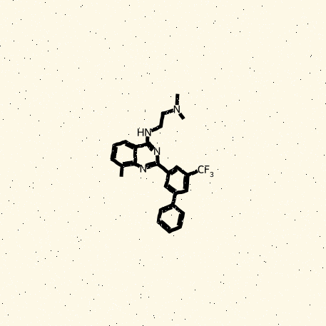 Cc1cccc2c(NCCN(C)C)nc(-c3cc(-c4ccccc4)cc(C(F)(F)F)c3)nc12